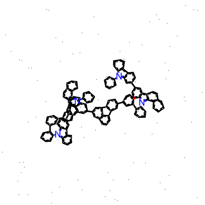 c1ccc(-n2c3ccccc3c3ccc(-c4ccc5c(c4)c4ccc6ccccc6c4n5-c4ccccc4-c4cccc(-c5ccc6c(c5)-c5cccc7cc(-c8cc9c%10c(cccc%10c8)-c8cc(-c%10cccc(-c%11ccccc%11-n%11c%12ccccc%12c%12cc(-c%13ccc%14c(c%13)c%13ccc%15ccccc%15c%13n%14-c%13ccccc%13)ccc%12%11)c%10)ccc8-9)cc-6c57)c4)cc32)cc1